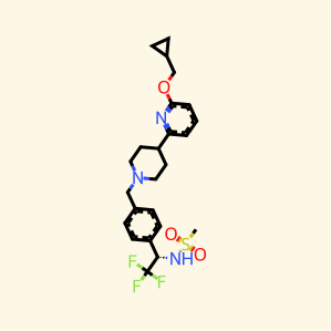 CS(=O)(=O)N[C@@H](c1ccc(CN2CCC(c3cccc(OCC4CC4)n3)CC2)cc1)C(F)(F)F